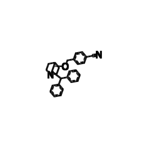 N#Cc1ccc(COC2C3CCN(CC3)C2C(c2ccccc2)c2ccccc2)cc1